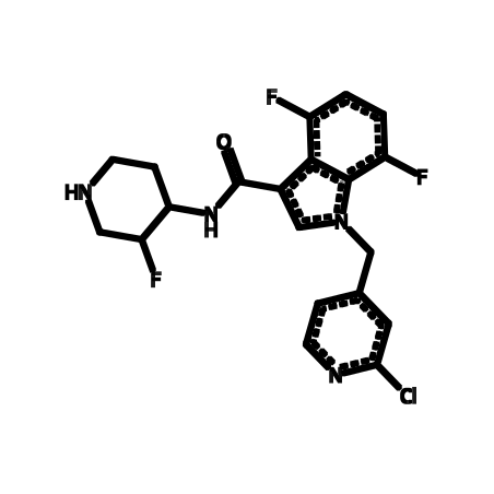 O=C(NC1CCNCC1F)c1cn(Cc2ccnc(Cl)c2)c2c(F)ccc(F)c12